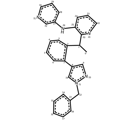 CC(c1ccccc1-c1cnn(Cc2ccccc2)c1)c1ncccc1Nc1cccnc1